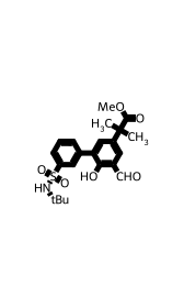 COC(=O)C(C)(C)c1cc(C=O)c(O)c(-c2cccc(S(=O)(=O)NC(C)(C)C)c2)c1